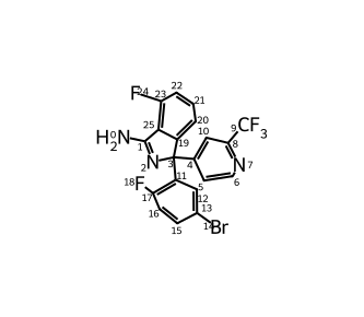 NC1=NC(c2ccnc(C(F)(F)F)c2)(c2cc(Br)ccc2F)c2cccc(F)c21